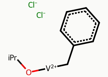 CC(C)[O][V+2][CH2]c1ccccc1.[Cl-].[Cl-]